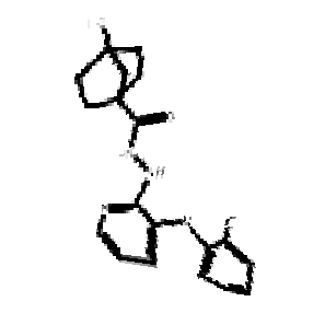 O=C(NNc1ncccc1Oc1ccccc1Cl)C12CCC(O)(CC1)C2